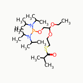 CCOC(COP(N(C(C)C)C(C)C)N(C(C)C)C(C)C)OCCSC(=O)C(C)C